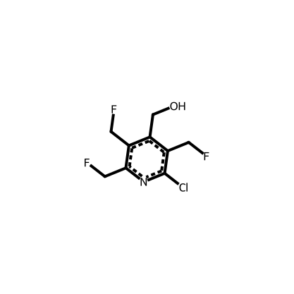 OCc1c(CF)c(Cl)nc(CF)c1CF